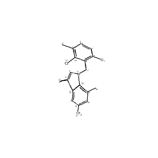 Cc1ncc(Cl)c(Cn2cc(C)c3cc(C(F)(F)F)cc(C)c32)c1Cl